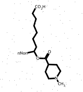 CCCCCCCCCC(CCCCCCC(=O)O)OC(=O)C1CCN(C)CC1